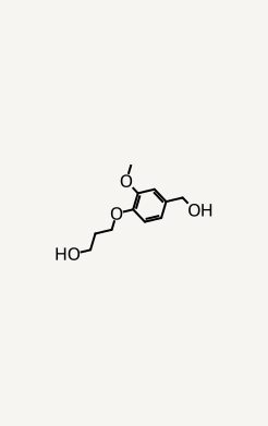 COc1cc(CO)ccc1OCCCO